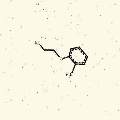 N#CCCOc1ccccc1N